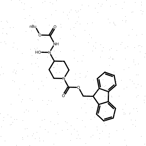 CCCCOC(=O)NN(O)C1CCN(C(=O)OCC2c3ccccc3-c3ccccc32)CC1